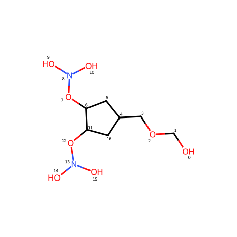 OCOCC1CC(ON(O)O)C(ON(O)O)C1